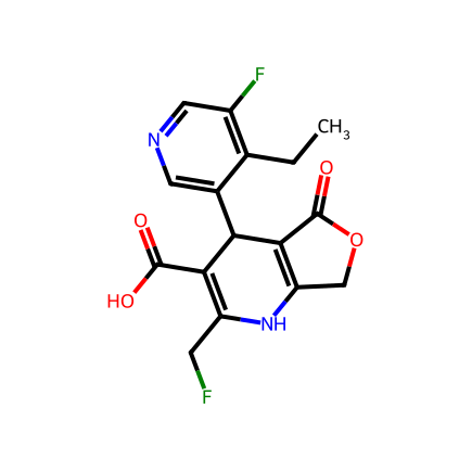 CCc1c(F)cncc1C1C(C(=O)O)=C(CF)NC2=C1C(=O)OC2